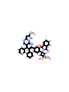 Cc1cc2ncc3c(-c4cccnc4)c(-c4ccccc4)c(-c4ccc([C@]5(N6C(=O)c7ccccc7C6=O)C[C@](C)(O)C5)cc4)nc3n2n1